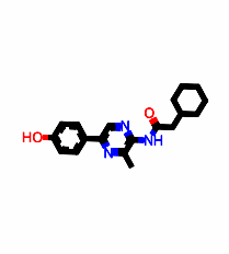 Cc1nc(-c2ccc(O)cc2)cnc1NC(=O)CC1CCCCC1